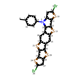 Cc1ccc(-n2c3cc(Br)sc3c3sc4cc5c(cc4c32)sc2c3sc(Br)cc3sc52)cc1